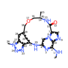 CNc1nc2cn3c(cnc13)C(=O)N[C@H](C)COCc1cc(c3nnn(C)c3c1)N2